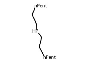 CCCCCCCPCCCCCCC